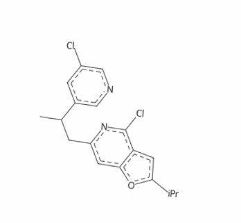 CC(C)c1cc2c(Cl)nc(CC(C)c3cncc(Cl)c3)cc2o1